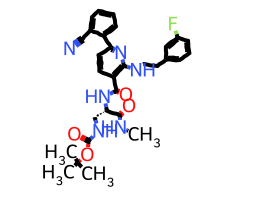 CNC(=O)[C@H](CNC(=O)OC(C)(C)C)NC(=O)c1ccc(-c2ccccc2C#N)nc1NCCc1cccc(F)c1